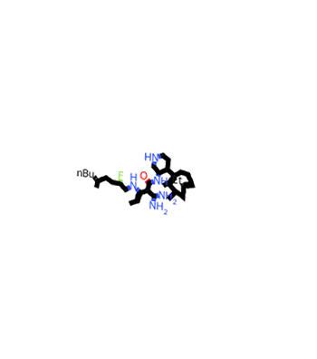 C/C=C(\NCC(F)CCC(C)CCCC)C(C(=O)NC1CNCCC1/C1=C(\C)C(C)C/C(CC)=C/CC1)C(N)N